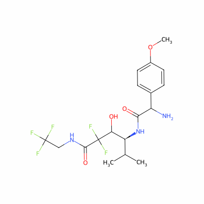 COc1ccc(C(N)C(=O)N[C@@H](C(C)C)C(O)C(F)(F)C(=O)NCC(F)(F)F)cc1